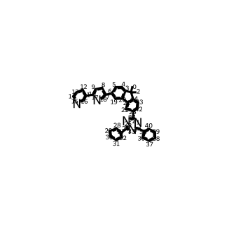 CC1(C)c2ccc(-c3ccc(-c4cccnc4)nc3)cc2-c2cc(-c3nc(-c4ccccc4)nc(-c4ccccc4)n3)ccc21